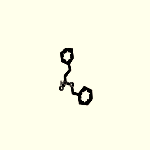 O=[PH](CCc1ccccc1)OCc1ccccc1